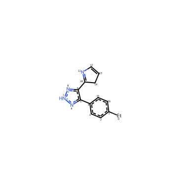 CCc1ccc(-c2n[nH]nc2C2=NC=CC2)cc1